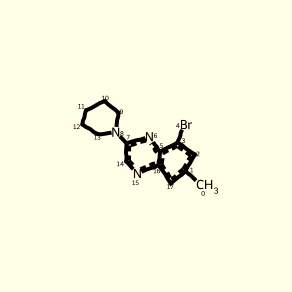 Cc1cc(Br)c2nc(N3CCCCC3)cnc2c1